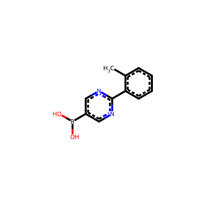 Cc1ccccc1-c1ncc(B(O)O)cn1